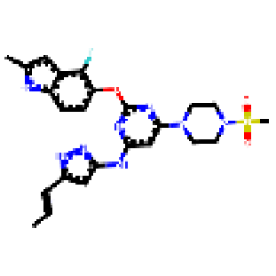 C/C=C/c1cc(Nc2cc(N3CCN(S(C)(=O)=O)CC3)nc(Oc3ccc4[nH]c(C)cc4c3F)n2)n[nH]1